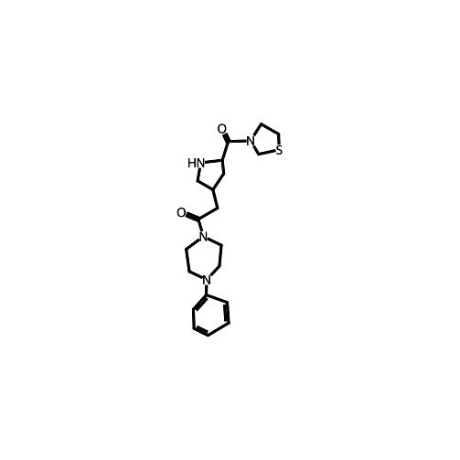 O=C(CC1CNC(C(=O)N2CCSC2)C1)N1CCN(c2ccccc2)CC1